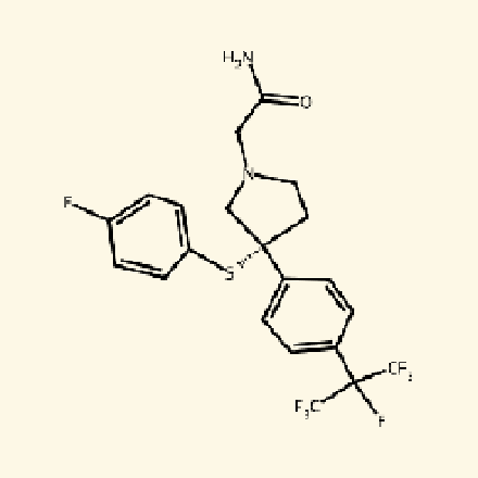 NC(=O)CN1CC[C@@](Sc2ccc(F)cc2)(c2ccc(C(F)(C(F)(F)F)C(F)(F)F)cc2)C1